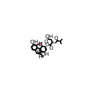 CC(C)C(=O)C[C@@H](CC(=O)O)C(=O)OC1=CC[C@@]2(O)[C@H]3Cc4ccc(O)c5c4[C@@]2(CCN3C)[C@H]1O5